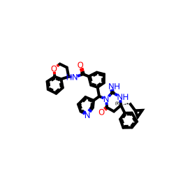 N=C1N[C@@](CC2CC2)(c2ccccc2)CC(=O)N1C(c1cccnc1)c1cccc(C(=O)NC2CCOc3ccccc32)c1